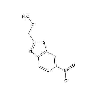 COCc1nc2ccc([N+](=O)[O-])cc2s1